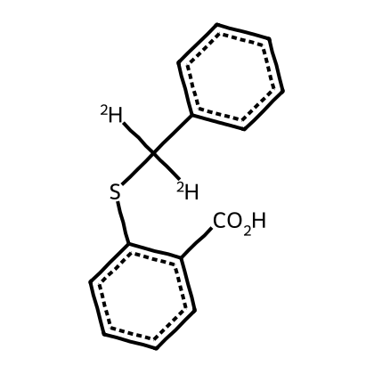 [2H]C([2H])(Sc1ccccc1C(=O)O)c1ccccc1